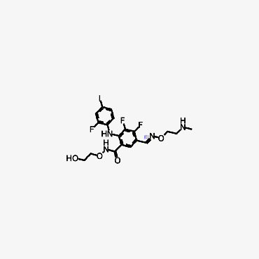 CNCCO/N=C/c1cc(C(=O)NOCCO)c(Nc2ccc(I)cc2F)c(F)c1F